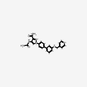 NC(=O)Nc1cn(-c2ccc(-c3cccc(OCc4ccncc4)c3)cc2)nc1C(N)=O